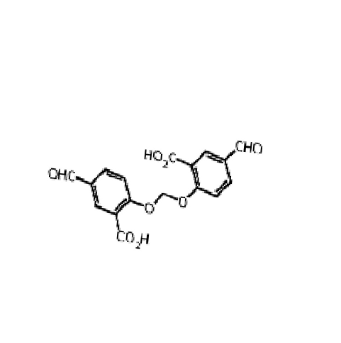 O=Cc1ccc(OCOc2ccc(C=O)cc2C(=O)O)c(C(=O)O)c1